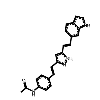 CC(=O)Nc1ccc(/C=C/c2cc(/C=C/c3ccc4cc[nH]c4c3)[nH]n2)cc1